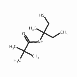 CCC(C)(CS)NC(=O)C(C)(C)C